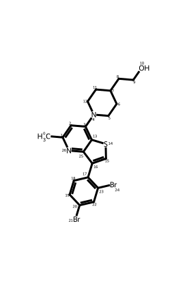 Cc1cc(N2CCC(CCO)CC2)c2scc(-c3ccc(Br)cc3Br)c2n1